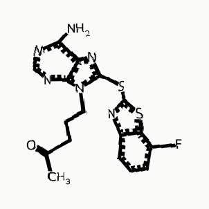 CC(=O)CCCn1c(Sc2nc3cccc(F)c3s2)nc2c(N)ncnc21